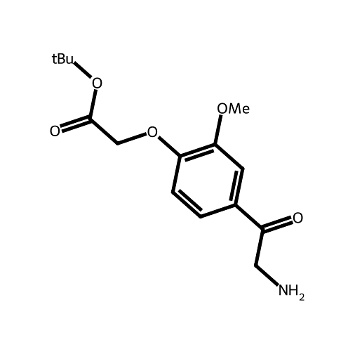 COc1cc(C(=O)CN)ccc1OCC(=O)OC(C)(C)C